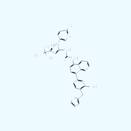 Cc1ccc(-n2nc(C(C)(C)C)cc2NC(=O)Nc2ccc(-c3ccc(Cc4ccco4)c(O)c3)c3ccccc23)cn1